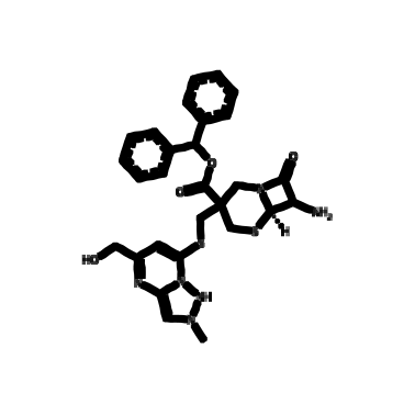 CN1C=C2N=C(CO)C=C(SCC3(C(=O)OC(c4ccccc4)c4ccccc4)CS[C@@H]4C(N)C(=O)N4C3)N2N1